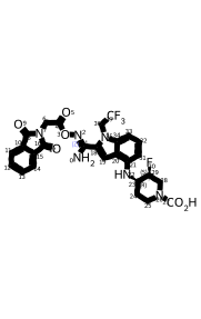 N/C(=N\OC(=O)CN1C(=O)c2ccccc2C1=O)c1cc2c(N[C@@H]3CCN(C(=O)O)C[C@@H]3F)cccc2n1CC(F)(F)F